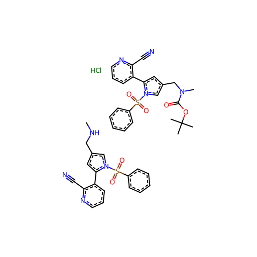 CN(Cc1cc(-c2cccnc2C#N)n(S(=O)(=O)c2ccccc2)c1)C(=O)OC(C)(C)C.CNCc1cc(-c2cccnc2C#N)n(S(=O)(=O)c2ccccc2)c1.Cl